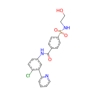 O=C(Nc1ccc(Cl)c(-c2ccccn2)c1)c1ccc(S(=O)(=O)NCCO)cc1